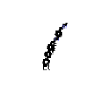 C/C=C/CCC1CCC(/C=C/CCc2ccc(C3CCC(C4CCC(CC)CC4)CC3)c(F)c2F)CC1